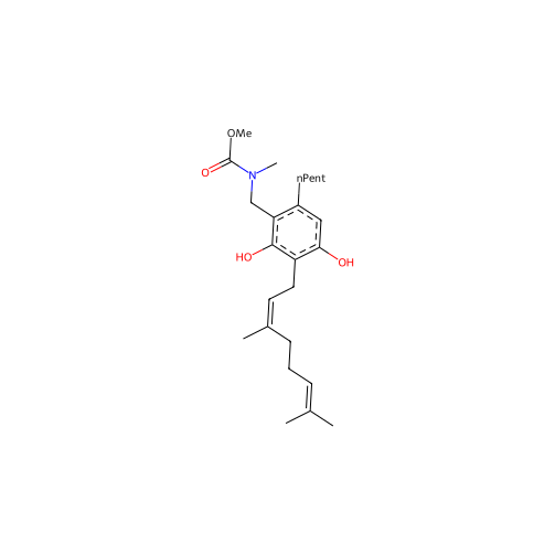 CCCCCc1cc(O)c(CC=C(C)CCC=C(C)C)c(O)c1CN(C)C(=O)OC